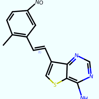 Cc1ccc(N=O)cc1/C=C/c1csc2c(N)ncnc12